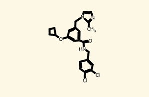 Cc1nccn1Cc1cc(OC2CCC2)cc(C(=O)NCc2ccc(Cl)c(Cl)c2)c1